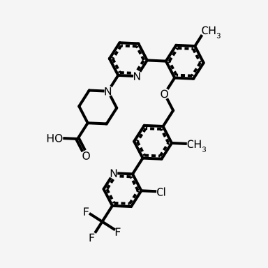 Cc1ccc(OCc2ccc(-c3ncc(C(F)(F)F)cc3Cl)cc2C)c(-c2cccc(N3CCC(C(=O)O)CC3)n2)c1